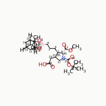 COC(=O)[C@H]1[C@H](CCCB2O[C@@H]3C[C@@H]4C[C@@H](C4(C)C)[C@]3(C)O2)C(CC(=O)O)CN1C(=O)OC(C)(C)C